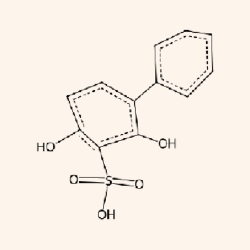 O=S(=O)(O)c1c(O)ccc(-c2ccccc2)c1O